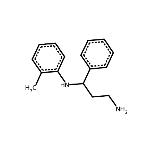 Cc1ccccc1NC(CCN)c1ccccc1